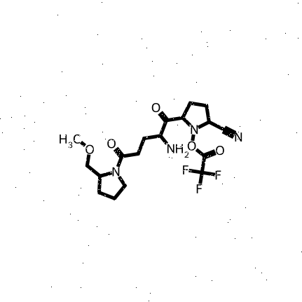 COCC1CCCN1C(=O)CCC(N)C(=O)C1CCC(C#N)N1OC(=O)C(F)(F)F